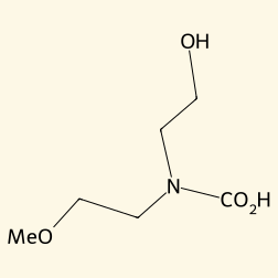 COCCN(CCO)C(=O)O